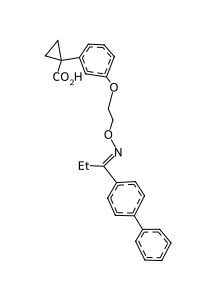 CC/C(=N\OCCOc1cccc(C2(C(=O)O)CC2)c1)c1ccc(-c2ccccc2)cc1